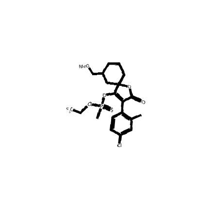 COCC1CCCC2(C1)OC(=O)C(c1ccc(Cl)cc1C)=C2OP(C)(=S)OCC(F)(F)F